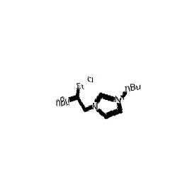 CCCCC(CC)Cn1cc[n+](CCCC)c1.[Cl-]